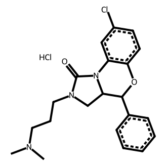 CN(C)CCCN1CC2C(c3ccccc3)Oc3ccc(Cl)cc3N2C1=O.Cl